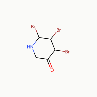 O=C1CNC(Br)C(Br)C1Br